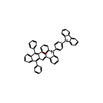 c1ccc(-c2c3ccccc3c(-c3ccccc3)c3cc(-c4ccccc4N(c4ccccc4)c4ccc(-n5c6ccccc6c6ccccc65)cc4)ccc23)cc1